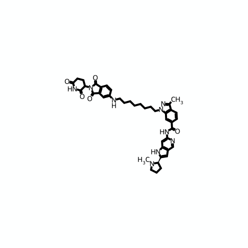 Cc1nn(CCCCCCCCNc2ccc3c(c2)C(=O)N(C2CCC(=O)NC2=O)C3=O)c2cc(C(=O)Nc3cc4[nH]c([C@H]5CCCN5C)cc4cn3)ccc12